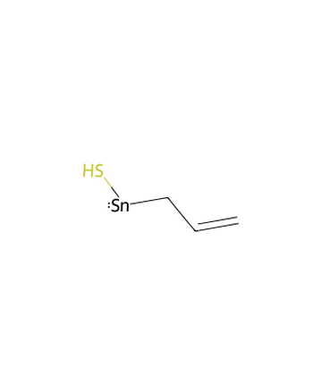 C=C[CH2][Sn][SH]